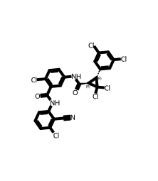 N#Cc1c(Cl)cccc1NC(=O)c1cc(NC(=O)[C@H]2[C@H](c3cc(Cl)cc(Cl)c3)C2(Cl)Cl)ccc1Cl